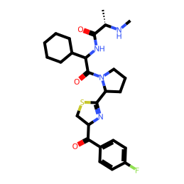 CN[C@@H](C)C(=O)NC(C(=O)N1CCCC1C1=NC(C(=O)c2ccc(F)cc2)CS1)C1CCCCC1